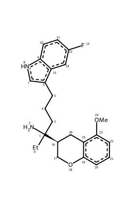 CCC(N)(CCCc1c[nH]c2ccc(F)cc12)[C@@H]1COc2cccc(OC)c2C1